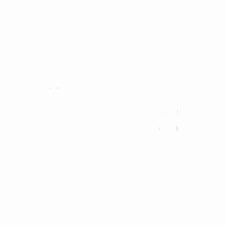 CCCCCCCCCCCCCCCCCC(=O)O.CCCCCCCCCCCCCCCCCC(=O)O.[BaH2].[CaH2]